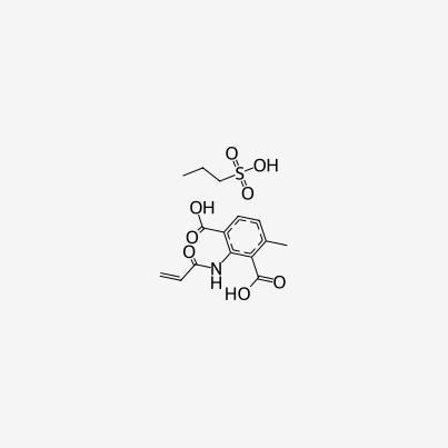 C=CC(=O)Nc1c(C(=O)O)ccc(C)c1C(=O)O.CCCS(=O)(=O)O